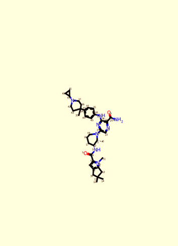 C[C@@H]1[C@H](NC(=O)c2cc3c(n2C)CC(C)(C)C3)CCCN1c1cnc(C(N)=O)c(Nc2ccc(C3(C)CCN(C4CC4)CC3)cc2)n1